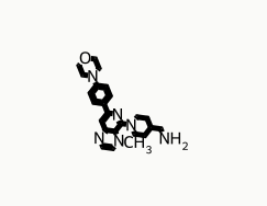 CN1C=CN=C2C=C(c3ccc(N4CCOCC4)cc3)N=C(N3CCC(CN)CC3)C21